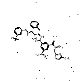 CC(=O)c1cc(C(=O)N[C@@H](Cc2ccccc2)[C@H](O)CNCc2cccc(C(F)(F)F)c2)cc(C(=O)N(C)Cc2nc(C)cs2)c1